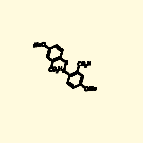 COc1ccc(SSc2ccc(OC)cc2C(=O)O)c(C(=O)O)c1